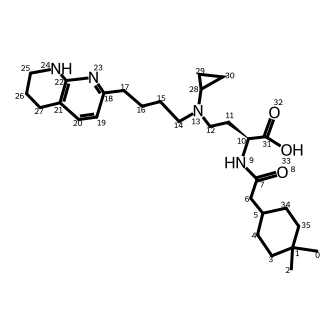 CC1(C)CCC(CC(=O)N[C@@H](CCN(CCCCc2ccc3c(n2)NCCC3)C2CC2)C(=O)O)CC1